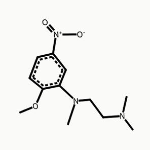 COc1ccc([N+](=O)[O-])cc1N(C)CCN(C)C